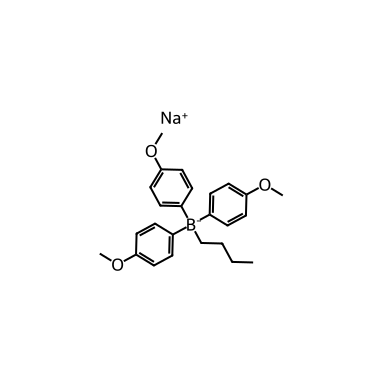 CCCC[B-](c1ccc(OC)cc1)(c1ccc(OC)cc1)c1ccc(OC)cc1.[Na+]